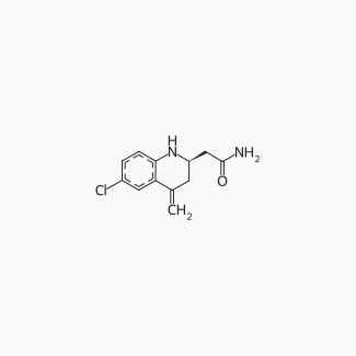 C=C1C[C@H](CC(N)=O)Nc2ccc(Cl)cc21